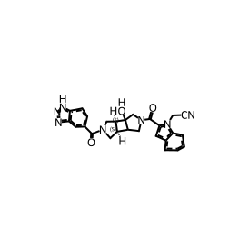 N#CCn1c(C(=O)N2CC3[C@H]4CN(C(=O)c5ccc6[nH]nnc6c5)C[C@H]4C3(O)C2)cc2ccccc21